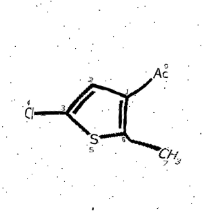 CC(=O)c1cc(Cl)sc1C